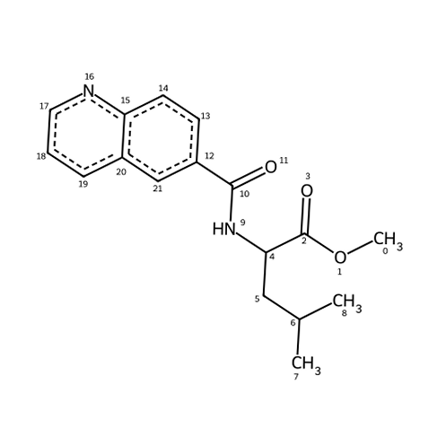 COC(=O)C(CC(C)C)NC(=O)c1ccc2ncccc2c1